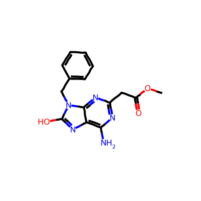 COC(=O)Cc1nc(N)c2nc(O)n(Cc3ccccc3)c2n1